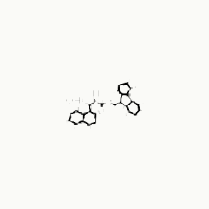 O=C[C@@H](NC(=O)OCC1c2ccccc2-c2ccccc21)c1cccc2ccccc12